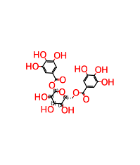 O=C(OC[C@H]1O[C@@H](OC(=O)c2cc(O)c(O)c(O)c2)[C@H](O)[C@@H](O)[C@@H]1O)c1cc(O)c(O)c(O)c1